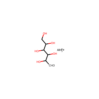 O=CC(O)C(O)C(O)C(O)CO.[AlH3].[Fe]